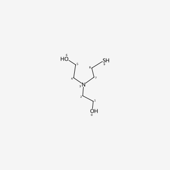 OCCN(CCO)CCS